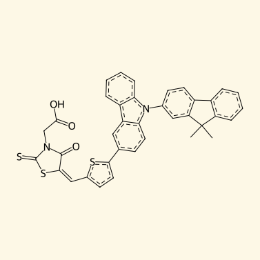 CC1(C)c2ccccc2-c2ccc(-n3c4ccccc4c4cc(-c5ccc(C=C6SC(=S)N(CC(=O)O)C6=O)s5)ccc43)cc21